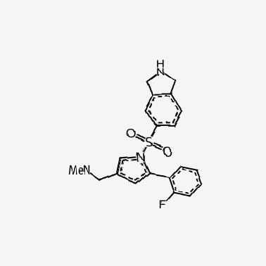 CNCc1cc(-c2ccccc2F)n(S(=O)(=O)c2ccc3c(c2)CNC3)c1